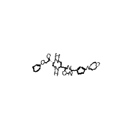 O=C(COc1ccccc1)[C@H]1CNC(c2nc(-c3ccc(N4CCOCC4)cc3)no2)CN1